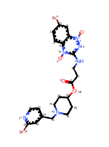 O=C(CCNc1n[n+]([O-])c2cc(Br)ccc2[n+]1[O-])OC1CCN(Cc2ccnc(Br)c2)CC1